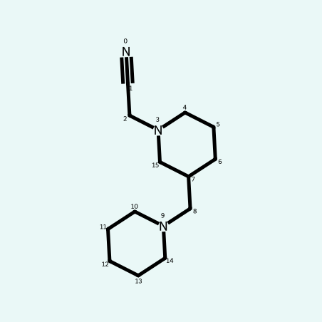 N#CCN1CCCC(CN2CCCCC2)C1